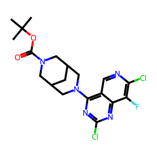 CC(C)(C)OC(=O)N1CC2CC(C1)CN(c1nc(Cl)nc3c(F)c(Cl)ncc13)C2